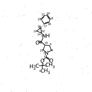 CC(C)(C)OC(=O)N1CCC(C(=O)N[C@H]2C[C@@H]2c2ccccc2)C1